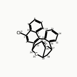 Clc1cc2c(c3ccccc13)-c1ccccc1C1CC3CC(C1)CC2C3